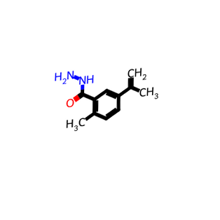 C=C(C)c1ccc(C)c(C(=O)NN)c1